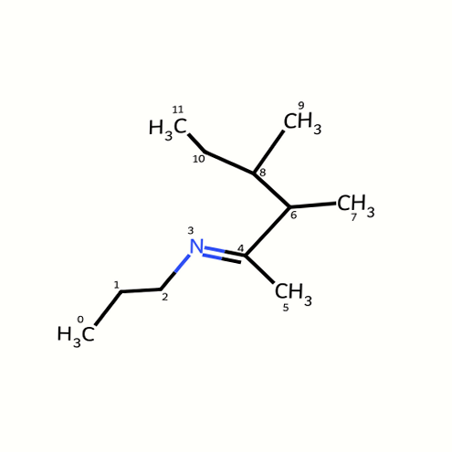 CCC/N=C(\C)C(C)C(C)CC